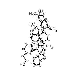 CC1(C)Cc2cc(N(C(=O)c3cnn4cccnc34)C(C)(O)N3CCN(c4nc5c(cc4[N+](=O)[O-])CC(C)(C)O5)CC3)c(N3CCN(CCO)CC3)nc2O1